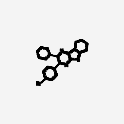 Brc1ccc(-c2nc3sc4ccccc4c3nc2-c2ccccc2)cc1